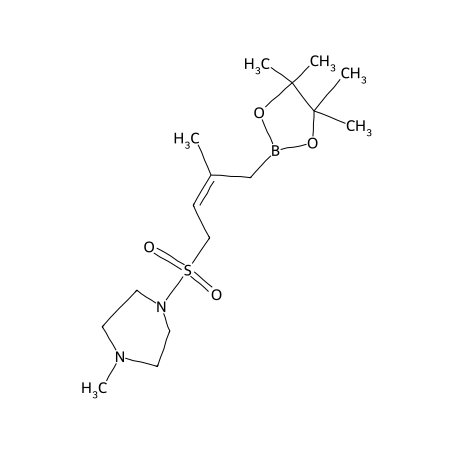 CC(=CCS(=O)(=O)N1CCN(C)CC1)CB1OC(C)(C)C(C)(C)O1